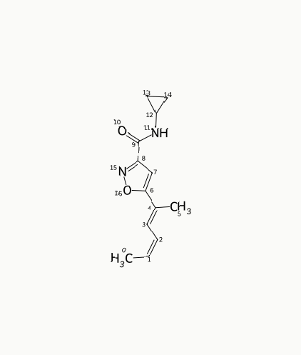 C/C=C\C=C(/C)c1cc(C(=O)NC2CC2)no1